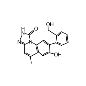 Cc1cc2n[nH]c(=O)n2c2cc(-c3ccccc3CO)c(O)cc12